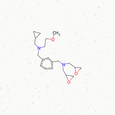 COCCN(Cc1cccc(CN(CC2CO2)CC2CO2)c1)CC1CC1